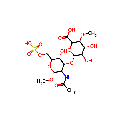 CO[C@@H]1OC(COS(=O)(=O)O)[C@H](O)[C@H](O[C@@H]2OC(C(=O)O)[C@@H](OC)[C@H](O)C2O)C1NC(C)=O